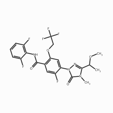 COC(C)c1nn(-c2cc(OCC(F)(F)F)c(C(=O)Nc3c(F)cccc3F)cc2F)c(=O)n1C